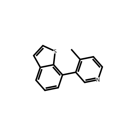 Cc1ccncc1-c1cccc2ccsc12